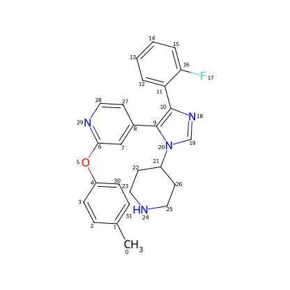 Cc1ccc(Oc2cc(-c3c(-c4ccccc4F)ncn3C3CCNCC3)ccn2)cc1